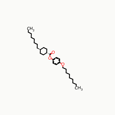 CCCCCCCCCOc1ccc(OC(=O)[C@H]2CC[C@H](CCCCCCCC)CC2)cc1